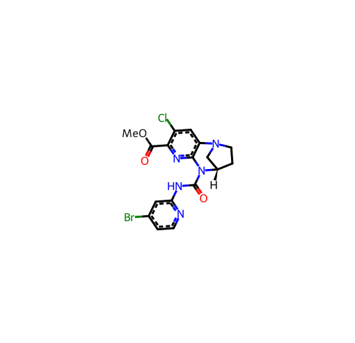 COC(=O)c1nc2c(cc1Cl)N1CC[C@@H](C1)N2C(=O)Nc1cc(Br)ccn1